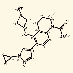 COC(=O)N1c2ccc(-c3cnn(C4CC4)c3)c(OC3CN(C(C)C)C3)c2CC[C@@H]1C